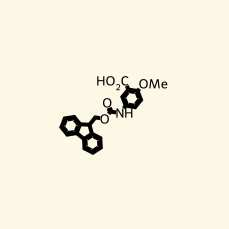 COc1ccc(NC(=O)OCC2c3ccccc3-c3ccccc32)cc1C(=O)O